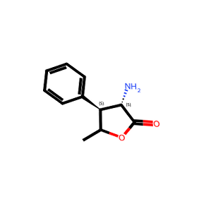 CC1OC(=O)[C@@H](N)[C@@H]1c1ccccc1